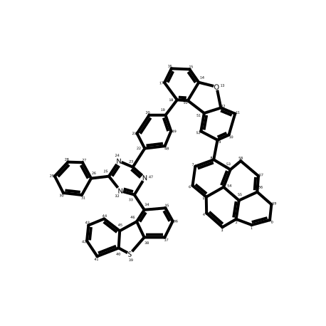 C1=Cc2ccc3ccc(-c4ccc5oc6cccc(-c7ccc(-c8nc(-c9ccccc9)nc(-c9cccc%10sc%11ccccc%11c9%10)n8)cc7)c6c5c4)c4c3c2C(=CC4)C1